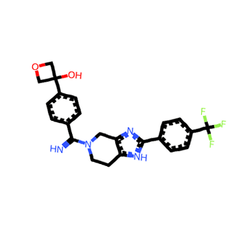 N=C(c1ccc(C2(O)COC2)cc1)N1CCc2[nH]c(-c3ccc(C(F)(F)F)cc3)nc2C1